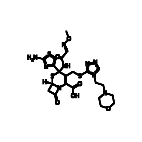 CON=CC(=O)NC1(c2csc(N)n2)S[C@H]2CC(=O)N2C(C(=O)O)=C1CSc1nncn1CCN1CCOCC1